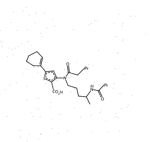 CC(C)CC(=O)N(CCCC(C)NC(=O)C(C)C)c1cc(C2=CCCCC2)sc1C(=O)O